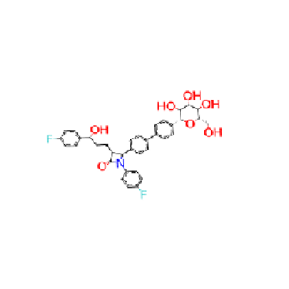 O=C1[C@@H](CC[C@@H](O)c2ccc(F)cc2)[C@@H](c2ccc(-c3ccc([C@H]4O[C@@H](CO)[C@H](O)[C@@H](O)[C@@H]4O)cc3)cc2)N1c1ccc(F)cc1